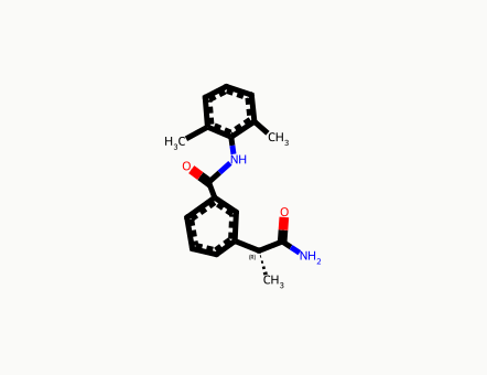 Cc1cccc(C)c1NC(=O)c1cccc([C@@H](C)C(N)=O)c1